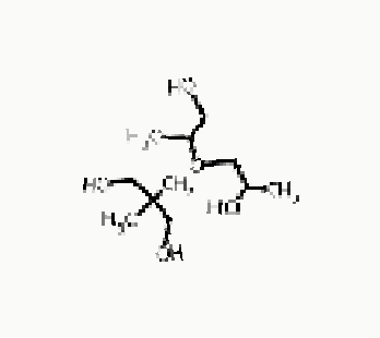 CC(C)(CO)CO.CC(O)COC(C)CO